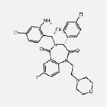 C[C@@H](c1ccc(Cl)cc1N)N1C(=O)c2cc(I)ccc2N(CCN2CCOCC2)C(=O)[C@H]1c1ccc(Cl)cc1